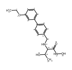 CCOc1cccc(-c2ccc(CNC(C(=O)NO)C(C)O)cc2)c1